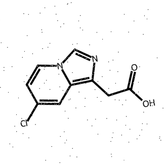 O=C(O)Cc1ncn2ccc(Cl)cc12